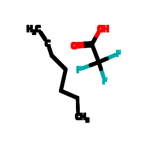 CCCCCCC.O=C(O)C(F)(F)F